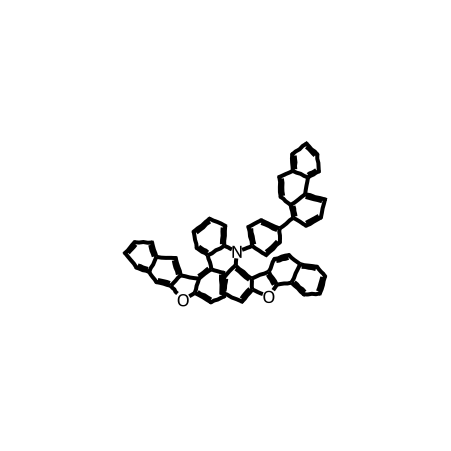 c1ccc(N(c2ccc(-c3cccc4c3ccc3ccccc34)cc2)c2cccc3oc4c5ccccc5ccc4c23)c(-c2cccc3oc4cc5ccccc5cc4c23)c1